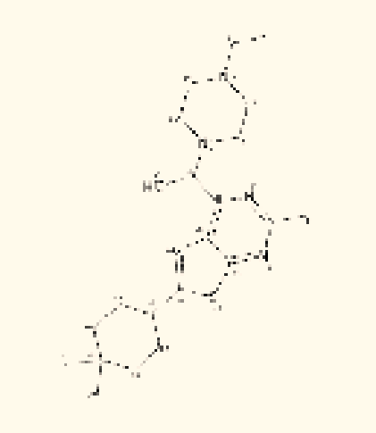 CCN1CCN(C(O)c2nc(C)nc3sc(C4CCC(C)(C)CC4)cc23)CC1